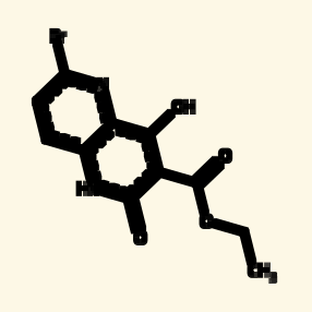 CCOC(=O)c1c(O)c2nc(Br)ccc2[nH]c1=O